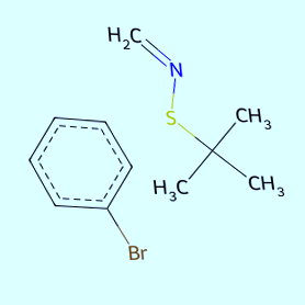 Brc1ccccc1.C=NSC(C)(C)C